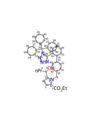 CCCC(O)c1ccc(C(=O)OCC)n1Cc1ccc(-c2ccccc2-c2nnnn2C(c2ccccc2)(c2ccccc2)c2ccccc2)cc1